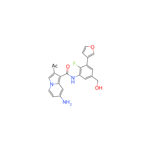 CC(=O)c1cn2ccc(N)cc2c1C(=O)Nc1cc(CO)cc(-c2ccoc2)c1F